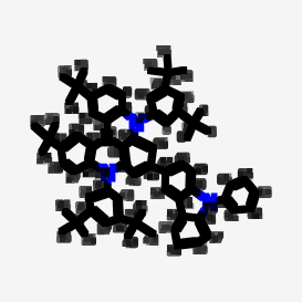 CC(C)(C)c1cc(N2c3ccc(C(C)(C)C)cc3B3c4cc(C(C)(C)C)ccc4N(c4cc(C(C)(C)C)cc(C(C)(C)C)c4)c4cc(-c5ccc6c(c5)c5ccccc5n6-c5ccccc5)cc2c43)cc(C(C)(C)C)c1